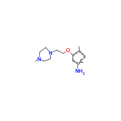 Cc1ccc(N)cc1OCCN1CCN(C)CC1